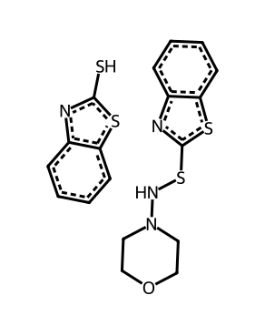 Sc1nc2ccccc2s1.c1ccc2sc(SNN3CCOCC3)nc2c1